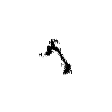 CNC(=O)N1CCc2c(c(N3CCCc4cc(-c5cnn(C)c5)c(C(F)F)cc43)nn2C2CCN(C(=O)CCOCCOCCOCCOCCNc3cccc4c3C(=O)N(C3CCC(=O)NC3=O)C4=O)CC2)C1